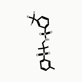 Cc1cccc(S(=O)(=O)C(C)(C)CNS(=O)(=O)c2cccc(C(F)(F)F)c2)c1